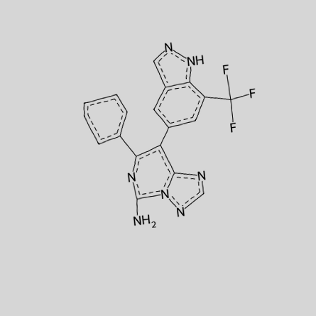 Nc1nc(-c2ccccc2)c(-c2cc(C(F)(F)F)c3[nH]ncc3c2)c2ncnn12